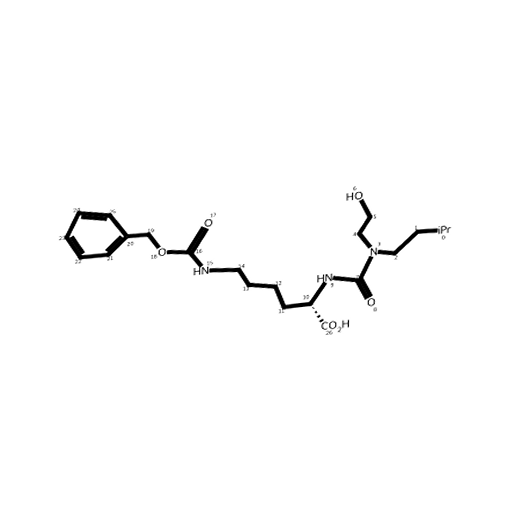 CC(C)CCN(CCO)C(=O)N[C@@H](CCCCNC(=O)OCc1ccccc1)C(=O)O